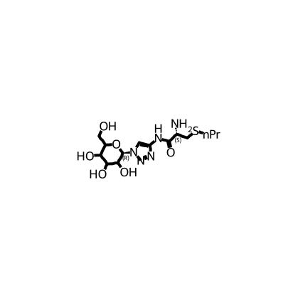 [CH2][CH]CSC[C@@H](N)C(=O)Nc1cn([C@@H]2OC(CO)C(O)C(O)C2O)nn1